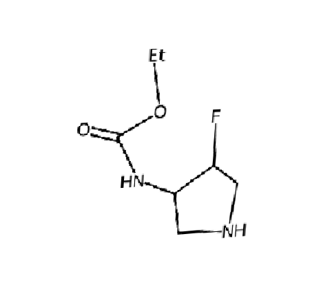 CCOC(=O)NC1CNCC1F